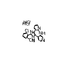 Cl.Cl.N#Cc1cccc(Cl)c1-c1nc2c([nH]1)-c1ccncc1Nc1ncccc1-2